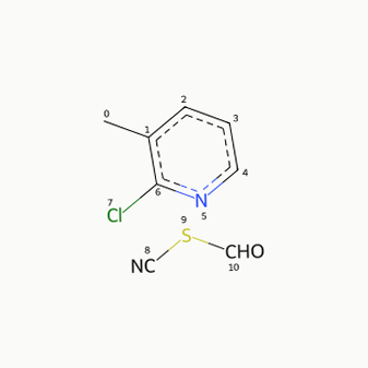 Cc1cccnc1Cl.N#CSC=O